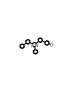 Clc1ccc(-c2cccc(-c3cc(-c4cccc(-c5ccccc5)c4)nc(-c4ccccc4)n3)c2)cc1